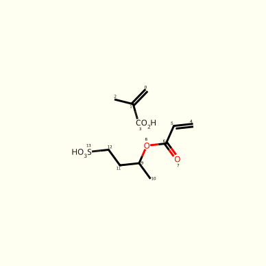 C=C(C)C(=O)O.C=CC(=O)OC(C)CCS(=O)(=O)O